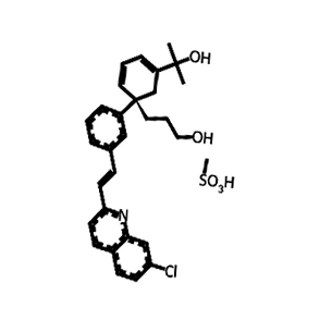 CC(C)(O)C1=CC=C[C@@](CCCO)(c2cccc(C=Cc3ccc4ccc(Cl)cc4n3)c2)C1.CS(=O)(=O)O